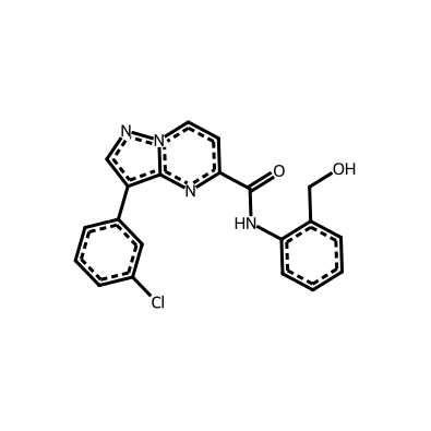 O=C(Nc1ccccc1CO)c1ccn2ncc(-c3cccc(Cl)c3)c2n1